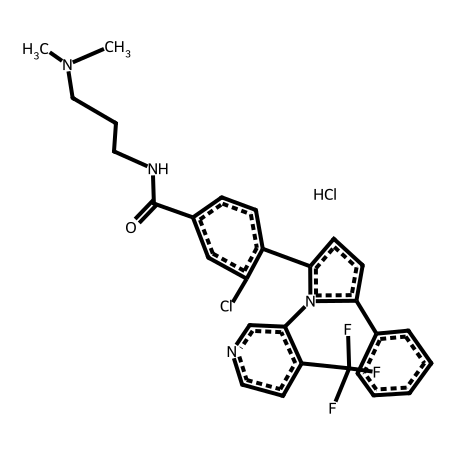 CN(C)CCCNC(=O)c1ccc(-c2ccc(-c3ccccc3)n2-c2cnccc2C(F)(F)F)c(Cl)c1.Cl